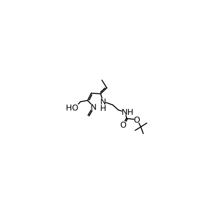 C=N/C(=C\C(=C/C)NCCNC(=O)OC(C)(C)C)CO